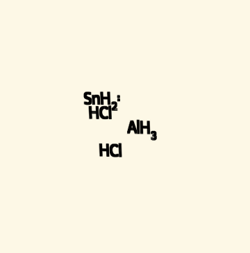 Cl.Cl.[AlH3].[SnH2]